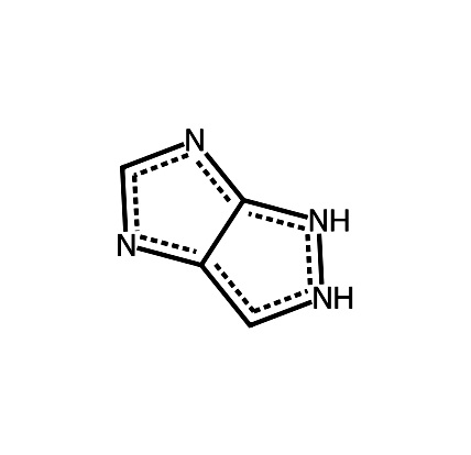 c1nc2c[nH][nH]c-2n1